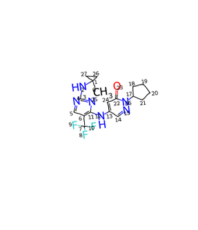 CC1(Nc2ncc(C(F)(F)F)c(Nc3cnn(C4CCCC4)c(=O)c3)n2)CC1